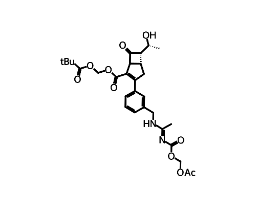 CC(=O)OCOC(=O)/N=C(\C)NCc1cccc(C2=C(C(=O)OCOC(=O)C(C)(C)C)C3C(=O)[C@H]([C@@H](C)O)C3C2)c1